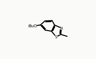 Cc1nc2ccc(OCC(C)C)cc2s1